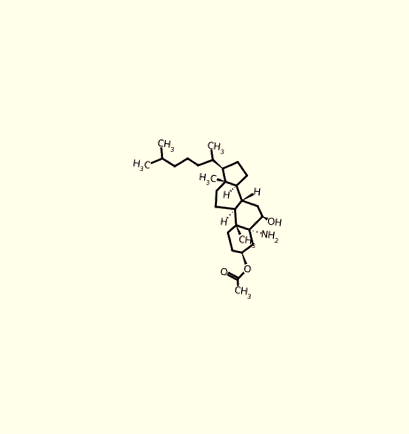 CC(=O)O[C@H]1CC[C@]2(C)[C@H]3CC[C@]4(C)[C@@H](C(C)CCCC(C)C)CC[C@H]4[C@@H]3C[C@@H](O)[C@@]2(N)C1